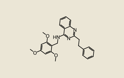 COc1cc(OC)c(CNc2nc(CCc3ccccc3)nc3ccccc23)c(OC)c1